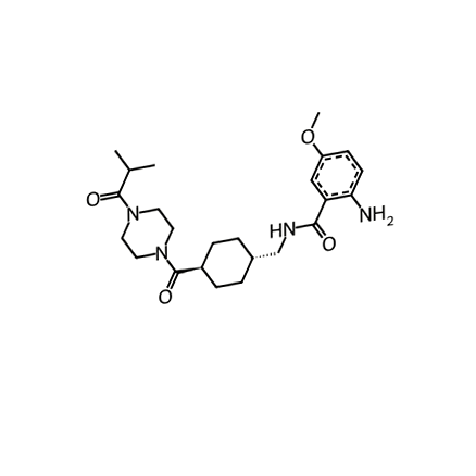 COc1ccc(N)c(C(=O)NC[C@H]2CC[C@H](C(=O)N3CCN(C(=O)C(C)C)CC3)CC2)c1